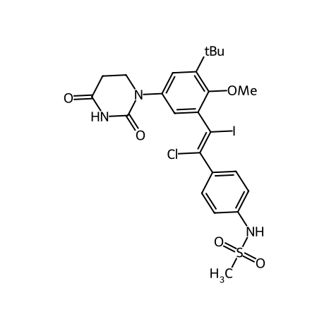 COc1c(C(I)=C(Cl)c2ccc(NS(C)(=O)=O)cc2)cc(N2CCC(=O)NC2=O)cc1C(C)(C)C